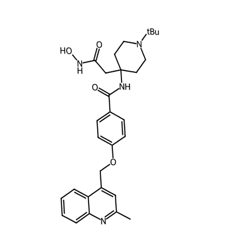 Cc1cc(COc2ccc(C(=O)NC3(CC(=O)NO)CCN(C(C)(C)C)CC3)cc2)c2ccccc2n1